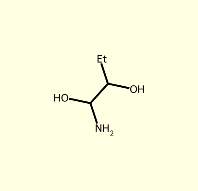 CCC(O)C(N)O